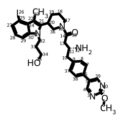 COc1ncc(-c2ccc(C[C@@H](N)CC(=O)N3CCCC(c4c(C)c5c(I)cccc5n4CCCO)C3)cc2)cn1